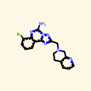 Nc1nc2c(Br)cccc2c2nc(CN3CCc4cccnc4C3)nn12